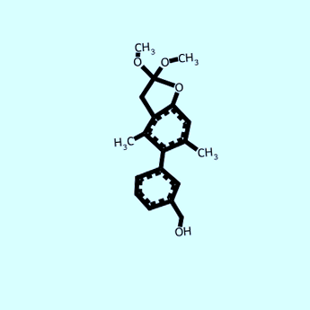 COC1(OC)Cc2c(cc(C)c(-c3cccc(CO)c3)c2C)O1